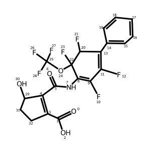 O=C(O)C1=C(C(=O)NC2=C(F)C(F)=C(c3ccccc3)C(F)C2(F)OC(F)(F)F)C(O)CC1